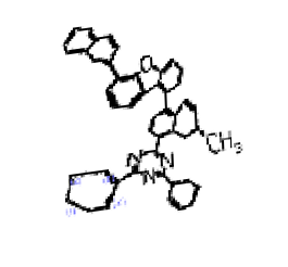 CC1C=Cc2c(-c3cccc4oc5c(-c6ccc7ccccc7c6)cccc5c34)ccc(-c3nc(C4=C/C/C=C\C=C/C/C=C\4)nc(C4C=CC=CC4)n3)c2C1